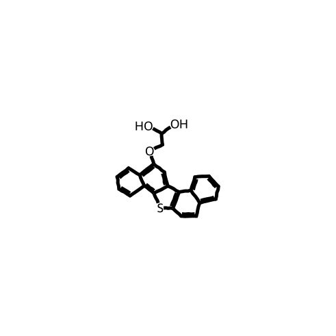 OC(O)COc1cc2c(sc3ccc4ccccc4c32)c2ccccc12